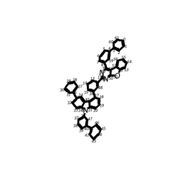 c1ccc(-c2cccc(-c3nc(-c4cccc(-c5cccc6c5c5cc(-c7ccccc7)ccc5n6-c5cccc(-c6ccccc6)c5)c4)nc4oc5ccccc5c34)c2)cc1